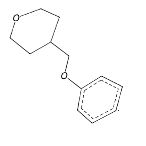 [c]1ccc(OCC2CCOCC2)cc1